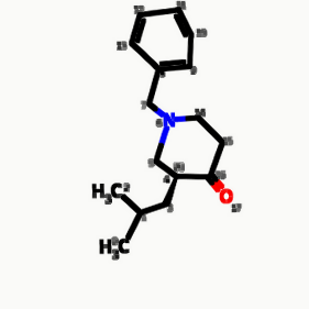 CC(C)C[C@H]1CN(Cc2ccccc2)CCC1=O